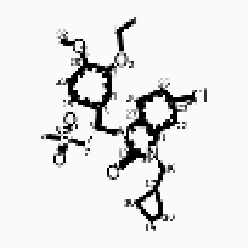 CCOc1cc([C@@H](CS(C)(=O)=O)n2c(=O)n(CC3CCC3)c3cc(Cl)ccc32)ccc1OC